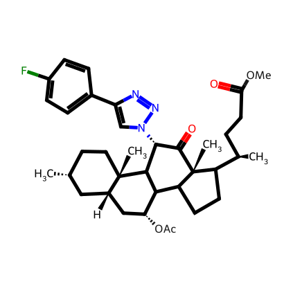 COC(=O)CC[C@@H](C)C1CCC2C3C([C@H](n4cc(-c5ccc(F)cc5)nn4)C(=O)[C@@]21C)[C@@]1(C)CC[C@@H](C)C[C@H]1C[C@H]3OC(C)=O